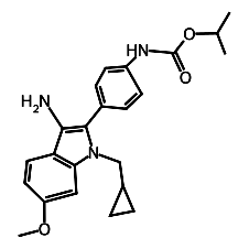 COc1ccc2c(N)c(-c3ccc(NC(=O)OC(C)C)cc3)n(CC3CC3)c2c1